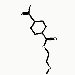 COCCOC(=O)C1CCC(C(C)=O)CC1